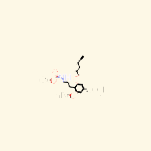 C#CCCCCOc1cc(C(=O)O)cc(OCCCC)c1CCCNC(=O)OC(C)(C)C